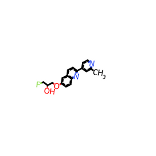 Cc1cc(-c2ccc3cc(OCC(O)CF)ccc3n2)ccn1